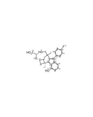 CC(C)(CO)c1c([C@]2(C)C[C@@H](OCC(=O)O)C2)c2c(O)cccc2n1-c1ccc(F)cc1